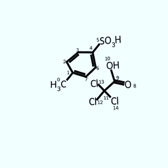 Cc1ccc(S(=O)(=O)O)cc1.O=C(O)C(Cl)(Cl)Cl